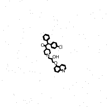 O=C(C1CCN(CC(O)COc2cccc3ncccc23)CC1)C(c1ccccc1)c1ccc(Cl)cc1